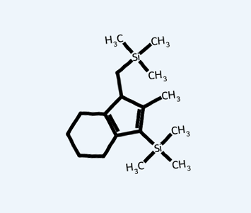 CC1=C([Si](C)(C)C)C2=C(CCCC2)C1C[Si](C)(C)C